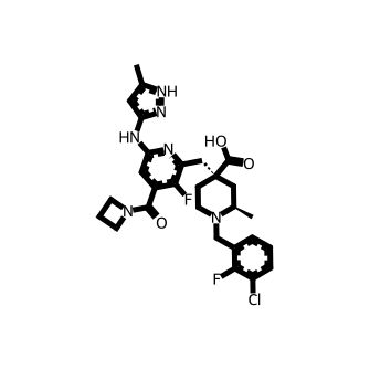 Cc1cc(Nc2cc(C(=O)N3CCC3)c(F)c(C[C@@]3(C(=O)O)CCN(Cc4cccc(Cl)c4F)[C@H](C)C3)n2)n[nH]1